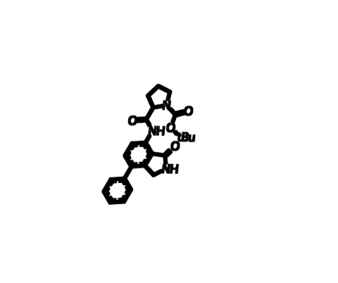 CC(C)(C)OC(=O)N1CCCC1C(=O)Nc1ccc(-c2ccccc2)c2c1C(=O)NC2